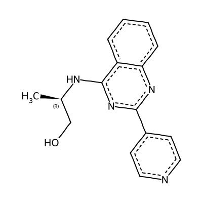 C[C@H](CO)Nc1nc(-c2ccncc2)nc2ccccc12